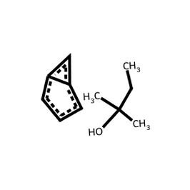 CCC(C)(C)O.c1cc2cc-2c1